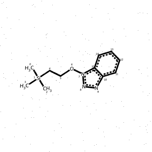 C[Si](C)(C)CCOn1nnc2ccccc21